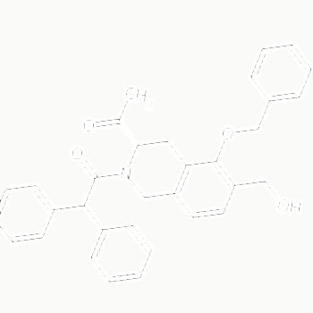 CC(=O)[C@@H]1Cc2c(ccc(CO)c2OCc2ccccc2)CN1C(=O)C(c1ccccc1)c1ccccc1